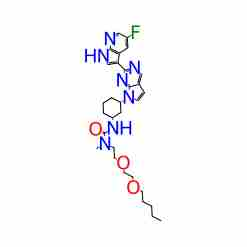 CCCCCOCCOCCN(C)C(=O)N[C@@H]1CCC[C@H](n2ccc3cnc(-c4c[nH]c5ncc(F)cc45)nc32)C1